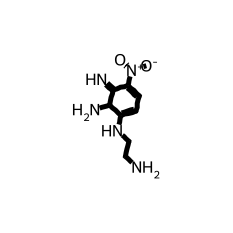 N=C1C([N+](=O)[O-])=CC=C(NCCN)C1N